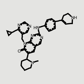 CN1CCCCC1c1cc2cnc(Nc3ccc(C4=CCNCC4)cc3)nc2n(Cc2cncnc2C2CC2)c1=O